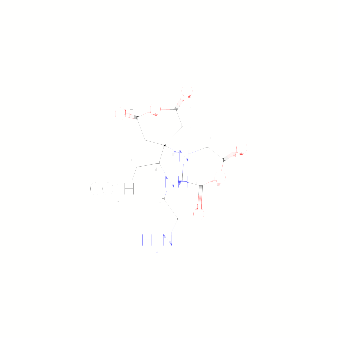 NCCNC(CC(=O)O)C1(N2CC(=O)OC(=O)C2)CC(=O)OC(=O)C1